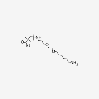 CCC(=O)C(C)(C)CC(C)(C)NCCCOCCOCCCCCCN